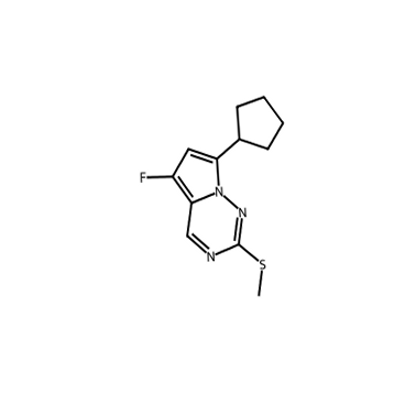 CSc1ncc2c(F)cc(C3CCCC3)n2n1